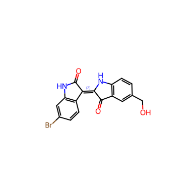 O=C1Nc2cc(Br)ccc2/C1=C1/Nc2ccc(CO)cc2C1=O